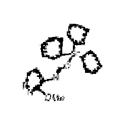 COc1nnccc1/N=C/[O][Sn]([c]1ccccc1)([c]1ccccc1)[c]1ccccc1